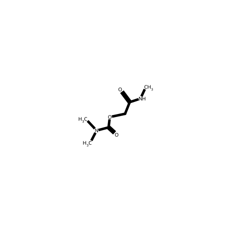 CNC(=O)COC(=O)N(C)C